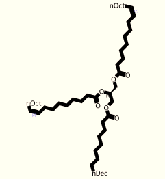 CCCCCCCC/C=C\CCCCCCCC(=O)OC[C@@H](COC(=O)CCCCCCCCCCCCCCCCC)OC(=O)CCCCCCC/C=C\CCCCCCCC